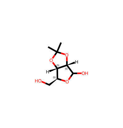 CC1(C)O[C@H]2[C@H](CO)OC(O)[C@H]2O1